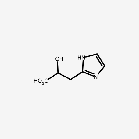 O=C(O)C(O)Cc1ncc[nH]1